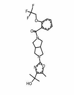 Cc1oc(N2CC3CN(C(=O)c4ccccc4OCC(F)(F)F)CC3C2)nc1C(C)(C)O